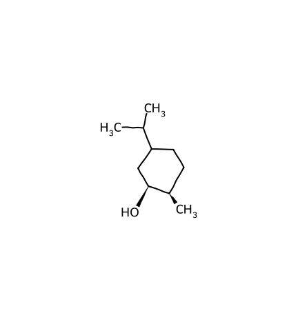 CC(C)C1CC[C@@H](C)[C@@H](O)C1